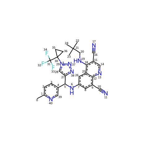 Cc1ccc(C(Nc2cc(C#N)c3ncc(C#N)c(NCC(C)(C)C)c3c2)c2cn(C3(C(F)(F)F)CC3)nn2)cn1